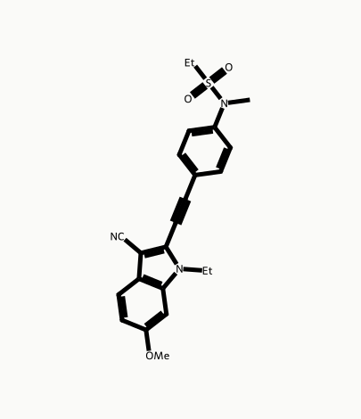 CCn1c(C#Cc2ccc(N(C)S(=O)(=O)CC)cc2)c(C#N)c2ccc(OC)cc21